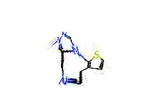 C1=NCc2nncn2-c2sccc21